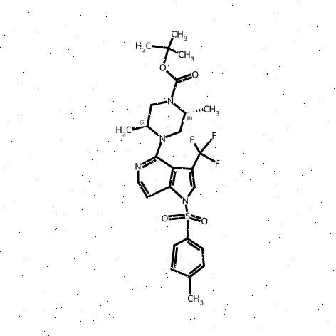 Cc1ccc(S(=O)(=O)n2cc(C(F)(F)F)c3c(N4C[C@@H](C)N(C(=O)OC(C)(C)C)C[C@@H]4C)nccc32)cc1